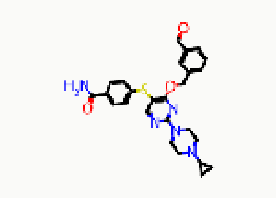 NC(=O)c1ccc(Sc2cnc(N3CCN(C4CC4)CC3)nc2OCc2cccc(C=O)c2)cc1